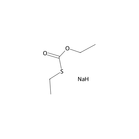 CCOC(=O)SCC.[NaH]